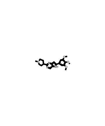 COc1cc(-c2cc3nc(C4CCN(C)CC4)ncc3[nH]2)cc(OC)c1OC